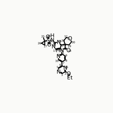 CCOc1cncc(-c2ccc(NC(=O)C3(c4ccnc(NS(=O)(=O)C5(C)CC5)n4)CCOCC3)nc2)n1